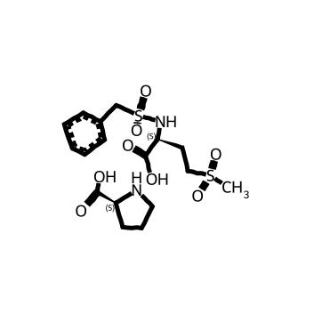 CS(=O)(=O)CC[C@H](NS(=O)(=O)Cc1ccccc1)C(=O)O.O=C(O)[C@@H]1CCCN1